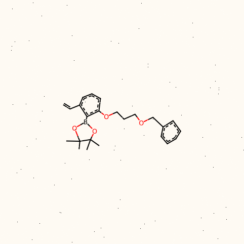 C=Cc1cccc(OCCCOCc2ccccc2)c1B1OC(C)(C)C(C)(C)O1